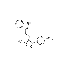 CC1=CSC(c2ccc(C)cc2)N1CCc1c[nH]c2ccccc12